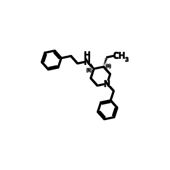 CC[C@@H]1CN(Cc2ccccc2)CC[C@H]1NCCc1ccccc1